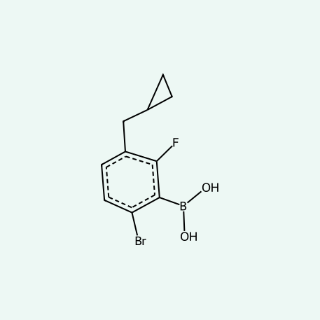 OB(O)c1c(Br)ccc(CC2CC2)c1F